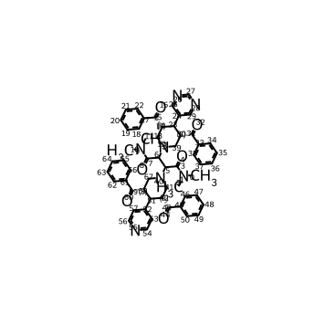 CN(C)C(=O)C(C(C(=O)N(C)C)N1C[C@H](C(=O)c2ccccc2)C(c2cncnc2)[C@H](C(=O)c2ccccc2)C1)N1C[C@H](C(=O)c2ccccc2)C(c2ccncc2)[C@H](C(=O)c2ccccc2)C1